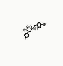 Cc1ccc(N(CC(=O)NCc2ccc(Br)cc2)[SH](=O)=O)cc1